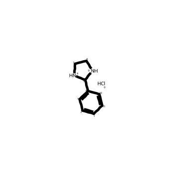 Cl.c1ccc(C2NCCN2)cc1